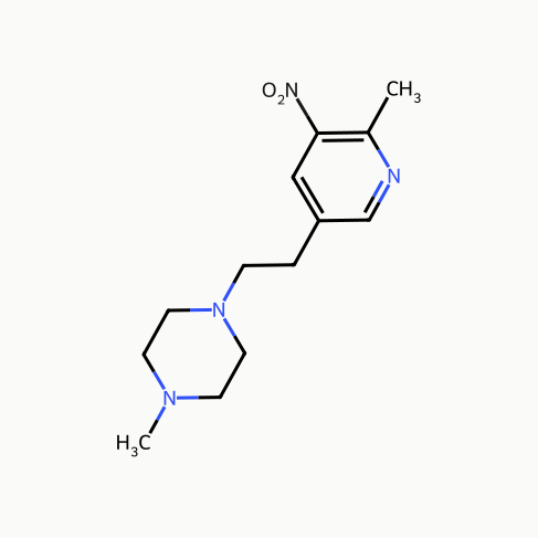 Cc1ncc(CCN2CCN(C)CC2)cc1[N+](=O)[O-]